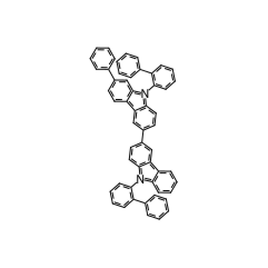 c1ccc(-c2ccc3c4cc(-c5ccc6c(c5)c5ccccc5n6-c5ccccc5-c5ccccc5)ccc4n(-c4ccccc4-c4ccccc4)c3c2)cc1